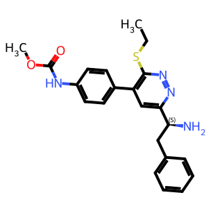 CCSc1nnc([C@@H](N)Cc2ccccc2)cc1-c1ccc(NC(=O)OC)cc1